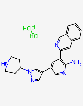 Cl.Cl.Cl.Nc1ncc(-c2cnn(C3CCNCC3)c2)cc1-c1cc2ccccc2cn1